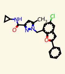 Cc1cc(C(=O)NC2CC2)nn1Cc1cc(Cl)cc2cc(-c3ccccc3)oc12